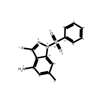 Cc1cc(N)c2c(F)nn(S(=O)(=O)c3ccccc3)c2c1